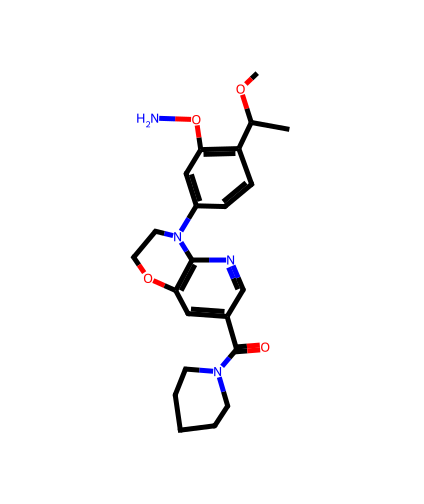 COC(C)c1ccc(N2CCOc3cc(C(=O)N4CCCCC4)cnc32)cc1ON